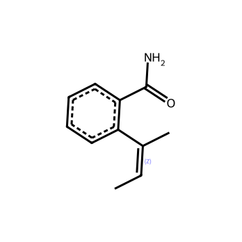 C/C=C(/C)c1ccccc1C(N)=O